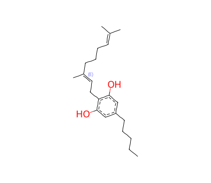 CCCCCc1cc(O)c(C/C=C(\C)CCCC=C(C)C)c(O)c1